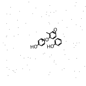 Cc1c(O)ccc2c1O2.Oc1ccccc1.Oc1ccccc1